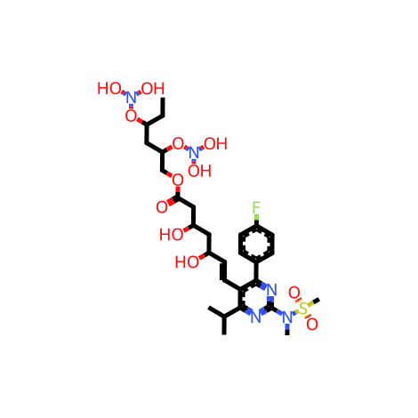 CCC(CC(COC(=O)CC(O)CC(O)/C=C/c1c(-c2ccc(F)cc2)nc(N(C)S(C)(=O)=O)nc1C(C)C)ON(O)O)ON(O)O